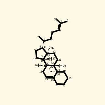 CC(C)=CCCC(C)[C@H]1CC[C@H]2[C@@H]3CC=C4CCCC[C@]4(C)[C@H]3CC[C@]12C